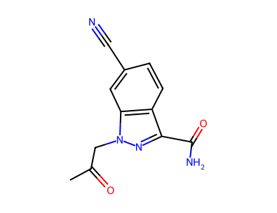 CC(=O)Cn1nc(C(N)=O)c2ccc(C#N)cc21